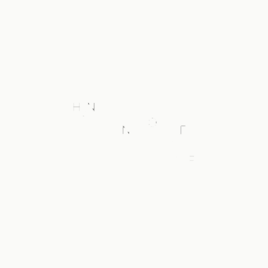 Nc1ccc(Oc2cccc(F)c2F)nc1